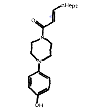 CCCCCCC/C=C/C(=O)N1CCN(c2ccc(O)cc2)CC1